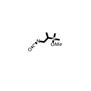 CO[Si](C)(C)C(C)CN=C=O